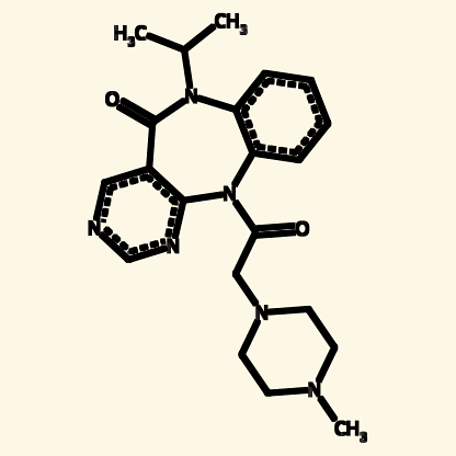 CC(C)N1C(=O)c2cncnc2N(C(=O)CN2CCN(C)CC2)c2ccccc21